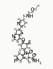 CCOCCNCc1ccc(-c2cc3nccc(Oc4ccc(N(C(=O)C5(C(N)=O)CC5)c5ccc(F)cc5)cc4F)c3s2)nc1